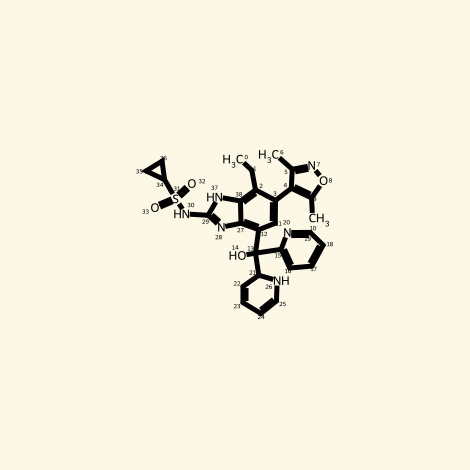 CCc1c(-c2c(C)noc2C)cc(C(O)(c2ccccn2)C2C=CC=CN2)c2nc(NS(=O)(=O)C3CC3)[nH]c12